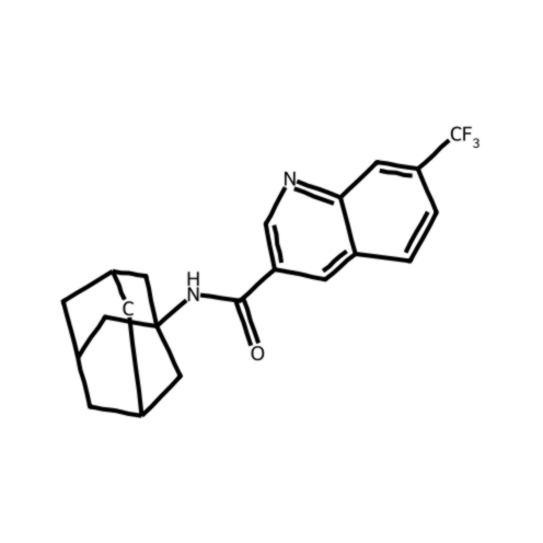 O=C(NC12CC3CC(CC(C3)C1)C2)c1cnc2cc(C(F)(F)F)ccc2c1